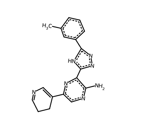 Cc1cccc(-c2nnc(-c3nc(C4=CN=CCC4)cnc3N)[nH]2)c1